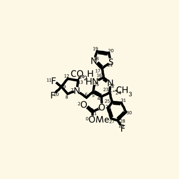 COC(=O)OC1=C(CN2CC(F)(F)C[C@H]2C(=O)O)NC(c2nccs2)=N[C@@]1(C)c1ccc(F)cc1